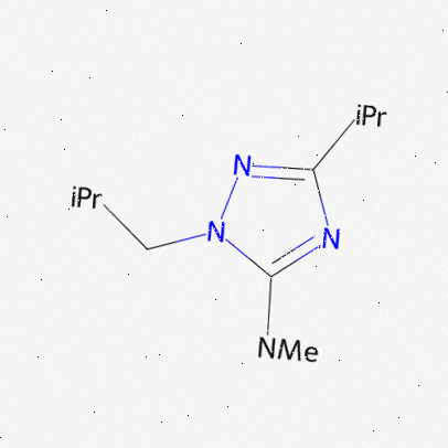 CNc1nc(C(C)C)nn1CC(C)C